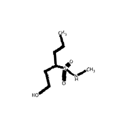 CCCC(CCO)S(=O)(=O)NC